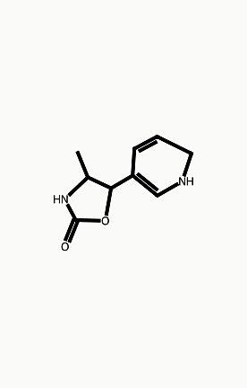 CC1NC(=O)OC1C1=CNCC=C1